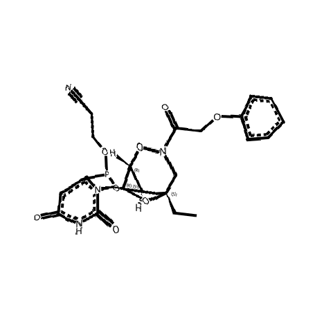 CC[C@@]12CN(C(=O)COc3ccccc3)O[C@@H]([C@H](n3ccc(=O)[nH]c3=O)O1)[C@@H]2OP(C)OCCC#N